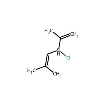 C=C(C)[SiH](Cl)C=C(C)C